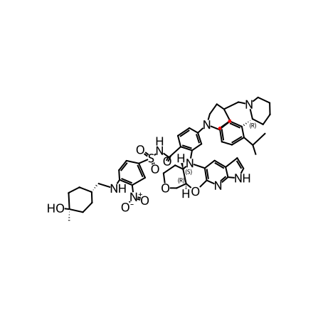 CC(C)c1ccccc1[C@H]1CCCCN1CC1CCN(c2ccc(C(=O)NS(=O)(=O)c3ccc(NC[C@H]4CC[C@](C)(O)CC4)c([N+](=O)[O-])c3)c(N3c4cc5cc[nH]c5nc4O[C@H]4COCC[C@@H]43)c2)CC1